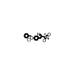 CN1C(=O)SC(c2cnc3cc(OCc4ccccc4Cl)ccc3c2)C1=O